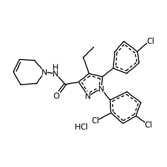 CCc1c(C(=O)NN2CC=CCC2)nn(-c2ccc(Cl)cc2Cl)c1-c1ccc(Cl)cc1.Cl